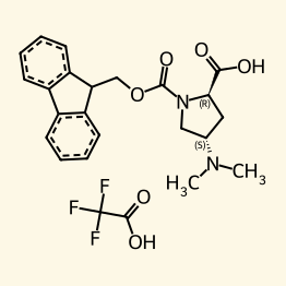 CN(C)[C@H]1C[C@H](C(=O)O)N(C(=O)OCC2c3ccccc3-c3ccccc32)C1.O=C(O)C(F)(F)F